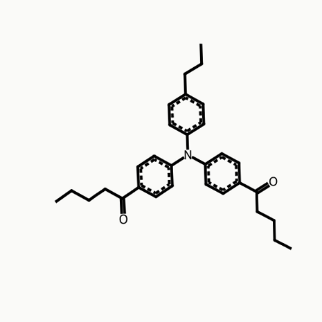 CCCCC(=O)c1ccc(N(c2ccc(CCC)cc2)c2ccc(C(=O)CCCC)cc2)cc1